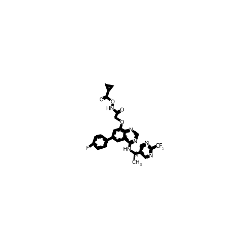 C[C@@H](Nc1ncnc2c(OCC(=O)NOC(=O)C3CC3)cc(-c3ccc(F)cc3)cc12)c1cnc(C(F)(F)F)nc1